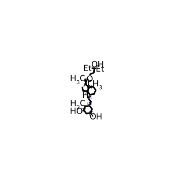 C=C1/C(=C\C=C2/CCC[C@]3(C)[C@@H]([C@@H](C)OCCC(O)(CC)CC)CC[C@@H]23)C[C@@H](O)C[C@@H]1O